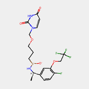 C[C@@H](N[S+]([O-])CCCOCn1ccc(=O)[nH]c1=O)c1ccc(F)c(OCC(F)(F)F)c1